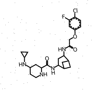 O=C(COc1ccc(Cl)c(F)c1)NC1CC(NC(=O)C2CC(NC3CC3)CCN2)C2CC1C2